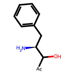 CC(=O)C(O)[C@@H](N)Cc1ccccc1